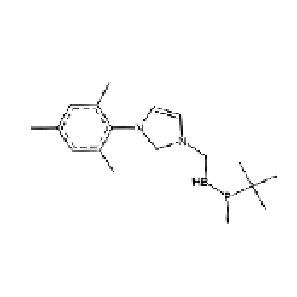 Cc1cc(C)c(N2C=CN(CBP(C)C(C)(C)C)C2)c(C)c1